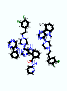 Cn1c2cccc(C#N)c2c2ncnc(N3CCN(CCc4ccc(F)c(F)c4)CC3)c21.O=C(Nc1ccccn1)c1cccc2[nH]c3c(N4CCN(CCc5ccc(F)c(F)c5)CC4)ncnc3c12.c1ccc2c(c1)[nH]c1cncnc12